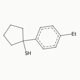 CCc1ccc(C2(S)CCCC2)cc1